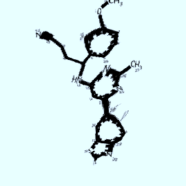 COc1cccc(C(CCC#N)Nc2cc(-c3ccc4ncsc4c3)nc(C)n2)c1